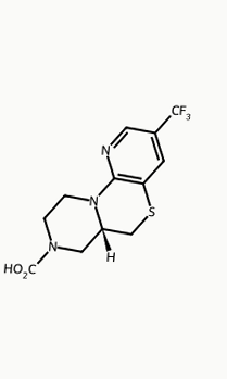 O=C(O)N1CCN2c3ncc(C(F)(F)F)cc3SC[C@@H]2C1